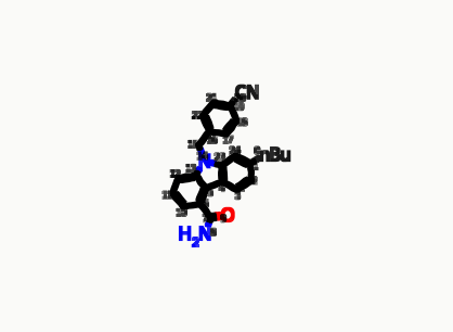 CCCCc1c[c]c2c3c(C(N)=O)cccc3n(Cc3ccc(C#N)cc3)c2c1